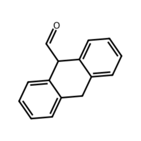 O=CC1c2ccccc2Cc2ccccc21